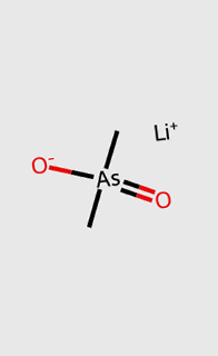 C[As](C)(=O)[O-].[Li+]